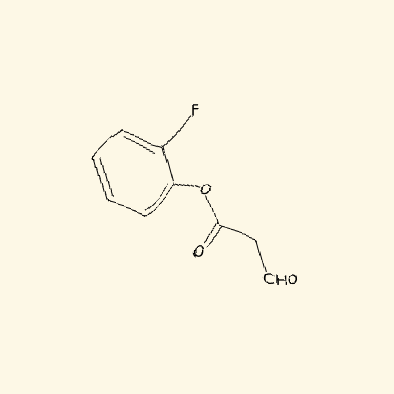 O=CCC(=O)Oc1ccccc1F